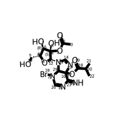 CC(=O)O[C@@]1(O)[C@H](O)[C@@H](CO)O[C@H]1N1C=NC2(OC(=O)C(C)C)C(=N)N=CN(Br)C12